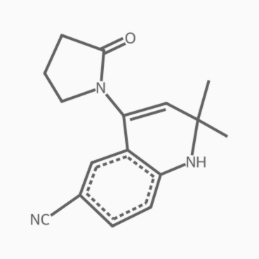 CC1(C)C=C(N2CCCC2=O)c2cc(C#N)ccc2N1